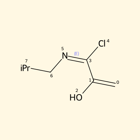 C=C(O)/C(Cl)=N\CC(C)C